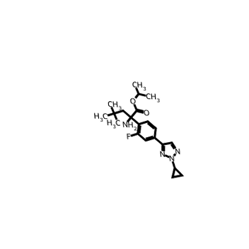 CC(C)OC(=O)C(N)(CC(C)(C)C)c1ccc(-c2cnn(C3CC3)n2)cc1F